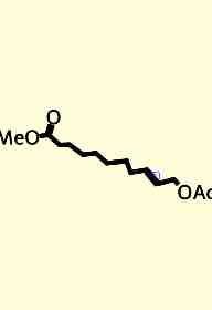 COC(=O)CCCCCCC/C=C/COC(C)=O